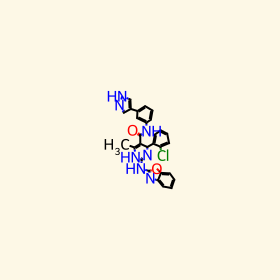 CC1=C(C(=O)Nc2cccc(-c3cn[nH]c3)c2)C(c2ccccc2Cl)N=C(Nc2nc3ccccc3o2)N1